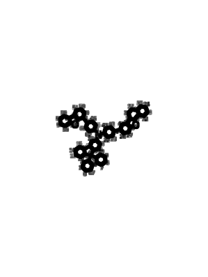 c1ccc(C2(c3ccccc3)c3ccccc3-c3cc(N(c4ccc(-c5ccc6oc7c8ccccc8ccc7c6c5)cc4)c4ccc(-c5cccc6c5oc5ccccc56)cc4)ccc32)cc1